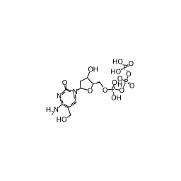 Nc1nc(=O)n([C@H]2CC(O)[C@@H](COP(=O)(O)OP(=O)(O)OP(=O)(O)O)O2)cc1CO